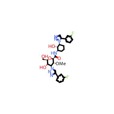 CO[C@@H]1[C@@H](n2cc(-c3cccc(F)c3)nn2)[C@@H](O)[C@@H](CO)O[C@H]1C(=O)N[C@@H]1CCC[C@H](n2nncc2-c2cccc(F)c2)[C@H]1O